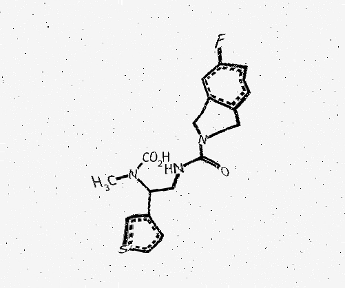 CN(C(=O)O)C(CNC(=O)N1Cc2ccc(F)cc2C1)c1ccsc1